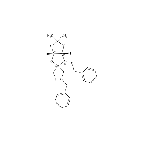 CC1(C)O[C@H]2O[C@](CI)(COCc3ccccc3)[C@@H](OCc3ccccc3)[C@H]2O1